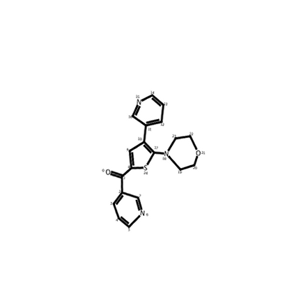 O=C(c1cccnc1)c1cc(-c2cccnc2)c(N2CCOCC2)s1